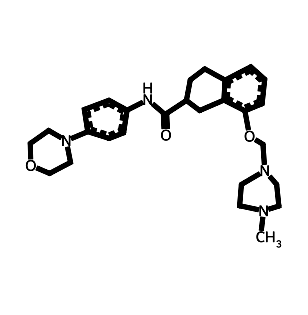 CN1CCN(COc2cccc3c2CC(C(=O)Nc2ccc(N4CCOCC4)cc2)CC3)CC1